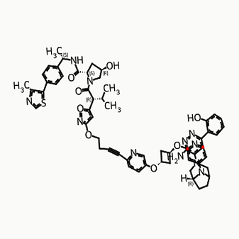 Cc1ncsc1-c1ccc([C@H](C)NC(=O)[C@@H]2C[C@@H](O)CN2C(=O)[C@@H](c2cc(OCCC#Cc3ccc(O[C@H]4C[C@H](Oc5cc(N6C7CC[C@@H]6CN(c6cc(-c8ccccc8O)nnc6N)C7)ccn5)C4)cn3)no2)C(C)C)cc1